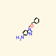 Nc1ccc2c(c1)ncn2COCc1ccccc1